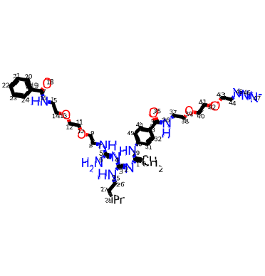 C=C(/N=C(\N=C(/N)NCCOCCOCCNC(=O)c1ccccc1)NCCC(C)C)Nc1ccc(C(=O)NCCOCCOCCN=[N+]=[N-])cc1